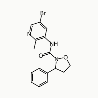 Cc1ncc(Br)cc1NC(=O)N1OCCC1c1ccccc1